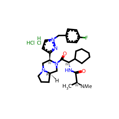 CN[C@@H](C)C(=O)N[C@H](C(=O)N1C[C@H]2CCCN2C[C@H]1c1ccn(Cc2ccc(F)cc2)n1)C1CCCCC1.Cl.Cl